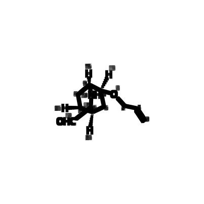 C=CCO[C@H]1C[C@H]2CC[C@@H]1N[C@@H]2C=O